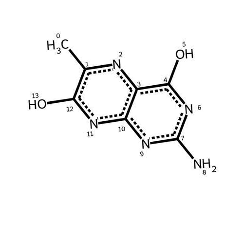 Cc1nc2c(O)nc(N)nc2nc1O